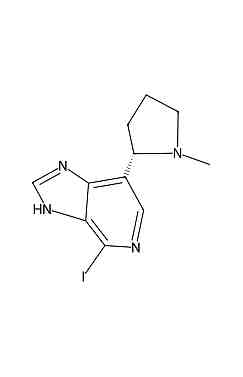 CN1CCC[C@H]1c1cnc(I)c2[nH]cnc12